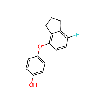 Oc1ccc(Oc2ccc(F)c3c2CCC3)cc1